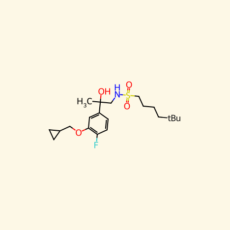 CC(C)(C)CCCCS(=O)(=O)NCC(C)(O)c1ccc(F)c(OCC2CC2)c1